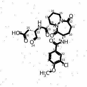 COc1ccc(C(=O)N[C@H]2CCC(=O)N3CCC[C@@H](C(=O)N[C@H](C=O)CC(=O)O)N3C2=O)cc1Cl